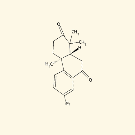 CC(C)c1ccc2c(c1)C(=O)C[C@H]1C(C)(C)C(=O)CC[C@]21C